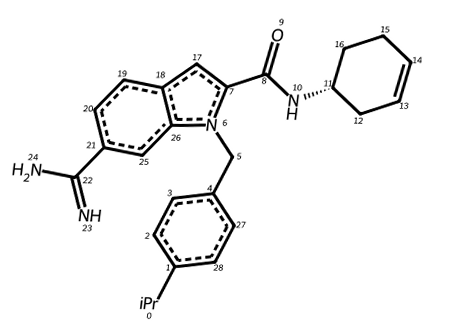 CC(C)c1ccc(Cn2c(C(=O)N[C@H]3CC=CCC3)cc3ccc(C(=N)N)cc32)cc1